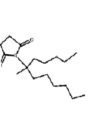 CCCCCCC(C)(CCCCC)N1C(=O)CCC1=O